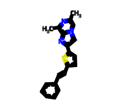 Cc1cn2[c]c(-c3ccc(C#Cc4ccccc4)s3)nc2c(C)n1